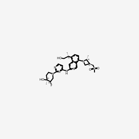 C[C@@H]1[C@@H](CS(C)(=O)=O)CN1c1ccc([C@@H](C)CO)c2cc(Nc3ccnc(N4CC[C@](C)(O)[C@H](F)C4)n3)ncc12